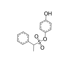 CC(c1ccccc1)S(=O)(=O)Oc1ccc(O)cc1